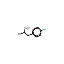 O=NC(Cc1ccc(F)cc1)C(=O)O